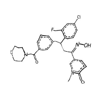 Cn1cc(/C(CC(c2cccc(C(=O)N3CCOCC3)c2)c2ccc(Cl)cc2F)=N\O)ccc1=O